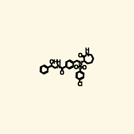 O=C(NCC(O)c1ccccc1)c1ccc(CN([C@@H]2CCCCNC2=O)S(=O)(=O)c2ccc(Cl)cc2)cc1